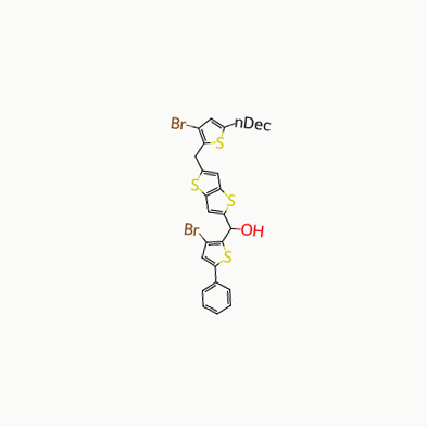 CCCCCCCCCCc1cc(Br)c(Cc2cc3sc(C(O)c4sc(-c5ccccc5)cc4Br)cc3s2)s1